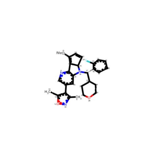 COC1=C2c3ncc(-c4c(C)noc4C)cc3N([C@H](c3ccccc3F)C3CCOCC3)C2C=C1